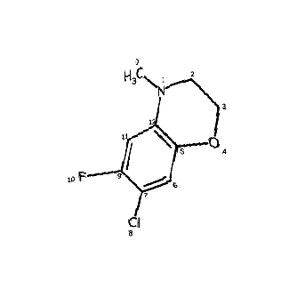 CN1CCOc2cc(Cl)c(F)cc21